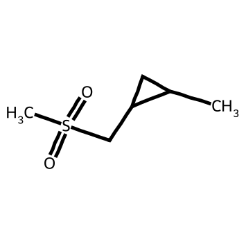 CC1CC1CS(C)(=O)=O